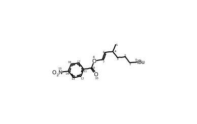 CCC(C)CCCC(C)C=COC(=O)c1ccc([N+](=O)[O-])cc1